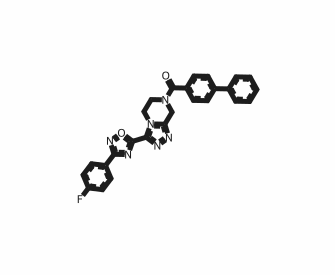 O=C(c1ccc(-c2ccccc2)cc1)N1CCn2c(nnc2-c2nc(-c3ccc(F)cc3)no2)C1